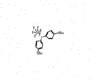 CC(C)(C)c1ccc([I+]c2ccc(C(C)(C)C)cc2)cc1.[F][Sb-]([F])([F])([F])([F])[F]